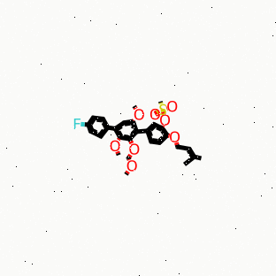 COCOc1c(OC)c(-c2ccc(F)cc2)cc(OC)c1-c1ccc(OCC=C(C)C)c(OS(C)(=O)=O)c1